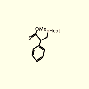 CCCCCCCC[C@H](C(=S)OC)c1ccccc1